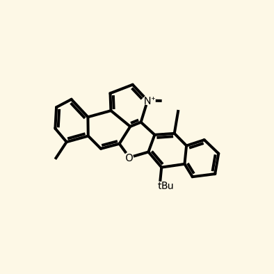 Cc1c2c(c(C(C)(C)C)c3ccccc13)Oc1cc3c(C)cccc3c3cc[n+](C)c-2c13